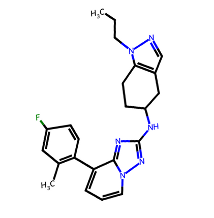 CCCn1ncc2c1CCC(Nc1nc3c(-c4ccc(F)cc4C)cccn3n1)C2